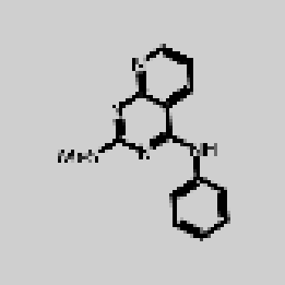 CSc1nc(Nc2ccccc2)c2cccnc2n1